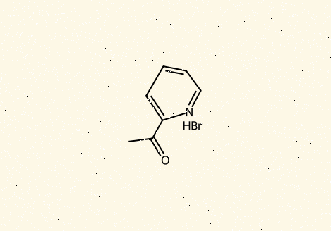 Br.CC(=O)c1ccccn1